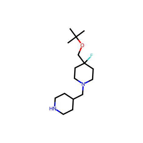 CC(C)(C)OCC1(F)CCN(CC2CCNCC2)CC1